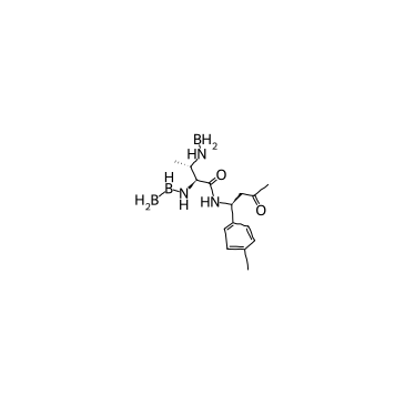 BBN[C@H](C(=O)N[C@@H](CC(C)=O)c1ccc(C)cc1)[C@H](C)NB